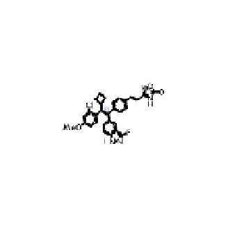 COc1ccc(/C(=C(/c2ccc(C=Cc3noc(=O)[nH]3)cc2)c2ccc3[nH]nc(F)c3c2)C2CCC2)c(Cl)c1